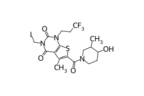 Cc1c(C(=O)N2CCC(O)C(C)C2)sc2c1c(=O)n(CI)c(=O)n2CCC(F)(F)F